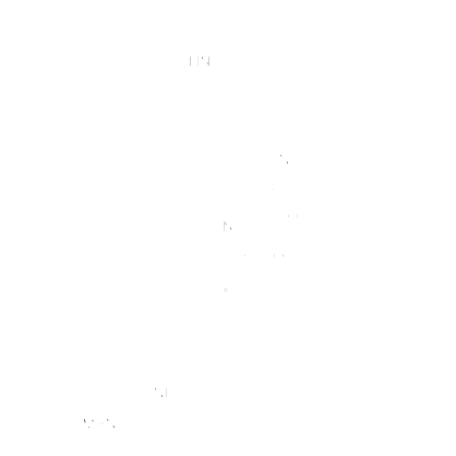 CNC(=O)Nc1ccc2c(c1)CC[C@@]21OC(=O)N(CC(=O)N(Cc2ccc(F)cc2)C2CC3(CNC3)C2)C1=O